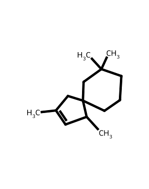 CC1=CC(C)C2(CCCC(C)(C)C2)C1